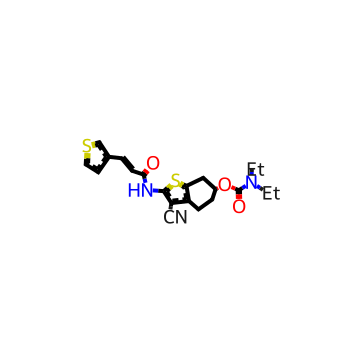 CCN(CC)C(=O)OC1CCc2c(sc(NC(=O)C=Cc3ccsc3)c2C#N)C1